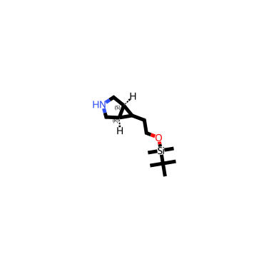 CC(C)(C)[Si](C)(C)OCCC1[C@H]2CNC[C@@H]12